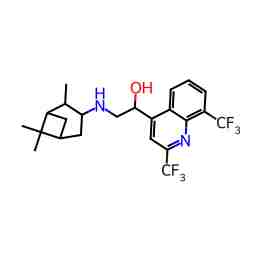 CC1C(NCC(O)c2cc(C(F)(F)F)nc3c(C(F)(F)F)cccc23)CC2CC1C2(C)C